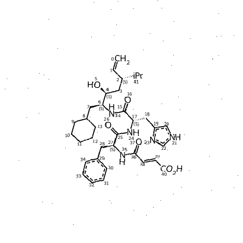 C=C[C@@H](C[C@H](O)[C@H](CC1CCCCC1)NC(=O)[C@H](Cc1c[nH]cn1)NC(=O)[C@H](Cc1ccccc1)NC(=O)C=CC(=O)O)C(C)C